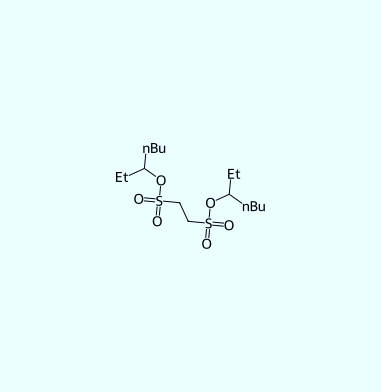 CCCCC(CC)OS(=O)(=O)CCS(=O)(=O)OC(CC)CCCC